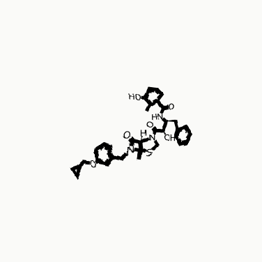 Cc1c(O)cccc1C(=O)N[C@@H](Cc1ccccc1)[C@H](O)C(=O)N1CSC2(C)[C@H]1C(=O)N2Cc1cccc(OCC2CC2)c1